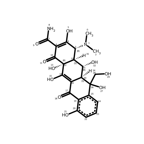 CN(C)[C@H]1C(O)=C(C(N)=O)C(=O)[C@]2(O)C(O)=C3C(=O)c4c(O)cccc4C(O)(CO)[C@@H]3[C@@H](O)[C@H]12